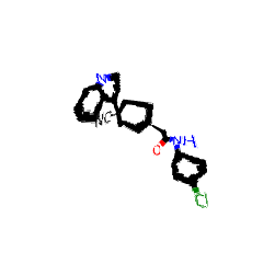 N#C[C@]1(c2ccnc3ccccc32)CC[C@@H](CC(=O)Nc2ccc(Cl)cc2)CC1